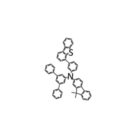 CC1(C)c2ccccc2-c2ccc(N(c3cc(-c4ccccc4)cc(-c4ccccc4)c3)c3cccc(-c4cccc5c4sc4ccccc45)c3)cc21